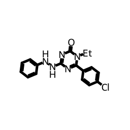 CCn1c(-c2ccc(Cl)cc2)nc(NNc2ccccc2)nc1=O